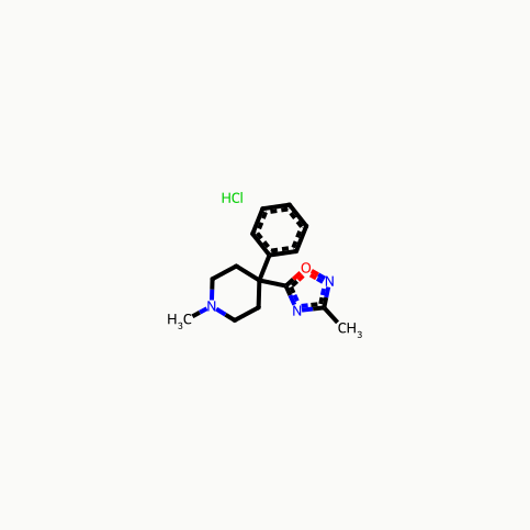 Cc1noc(C2(c3ccccc3)CCN(C)CC2)n1.Cl